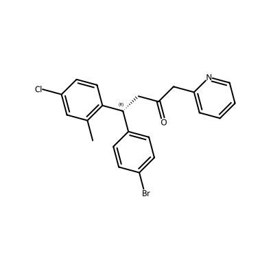 Cc1cc(Cl)ccc1[C@H](CC(=O)Cc1ccccn1)c1ccc(Br)cc1